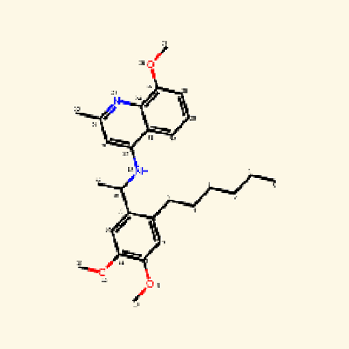 CCCCCCc1cc(OC)c(OC)cc1C(C)Nc1cc(C)nc2c(OC)cccc12